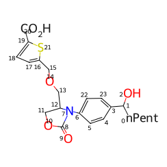 CCCCCC(O)c1ccc(N2C(=O)OCC2COCc2ccc(C(=O)O)s2)cc1